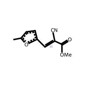 COC(=O)/C(C#N)=C/c1ccc(C)o1